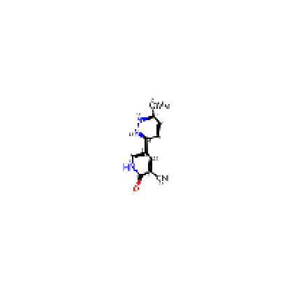 COc1ccc(-c2c[nH]c(=O)c(C#N)c2)nn1